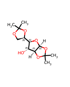 CC1(C)O[C@@H]2O[C@H]([C@H]3COC(C)(C)O3)[C@@H](O)[C@@H]2O1